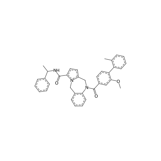 COc1cc(C(=O)N2Cc3ccc(C(=O)NC(C)c4ccccc4)n3Cc3ccccc32)ccc1-c1ccccc1C